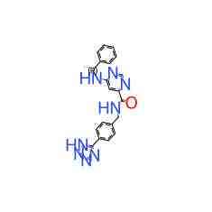 C[C@@H](Nc1cc(C(=O)NCc2ccc(-c3nnn[nH]3)cc2)ncn1)c1ccccc1